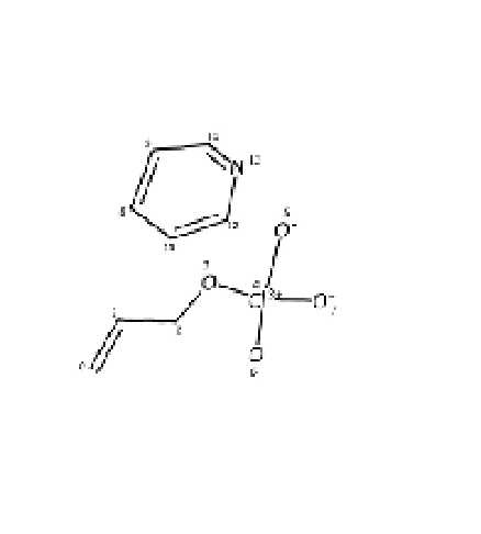 C=CCO[Cl+3]([O-])([O-])[O-].c1ccncc1